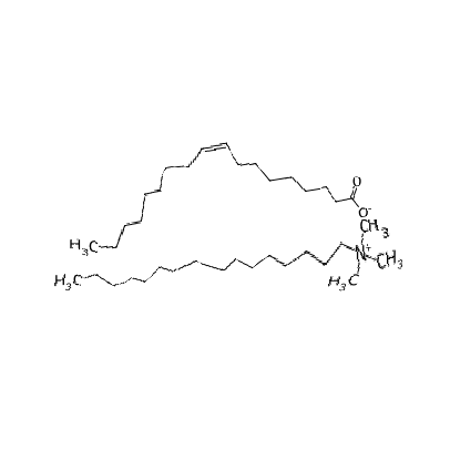 CCCCCCCC/C=C\CCCCCCCC(=O)[O-].CCCCCCCCCCCCCCCC[N+](C)(C)C